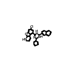 Clc1cc(C2=NC(c3ccccc3)NC(c3ccc4ccccc4c3)N2)c2c3c(oc2c1)NCC=C3